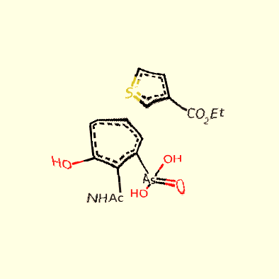 CC(=O)Nc1c(O)cccc1[As](=O)(O)O.CCOC(=O)c1ccsc1